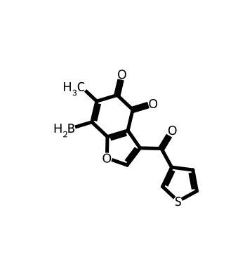 BC1=C(C)C(=O)C(=O)c2c(C(=O)c3ccsc3)coc21